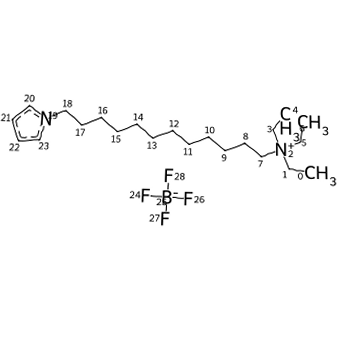 CC[N+](CC)(CC)CCCCCCCCCCCCn1cccc1.F[B-](F)(F)F